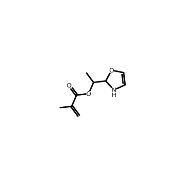 C=C(C)C(=O)OC(C)C1NC=CO1